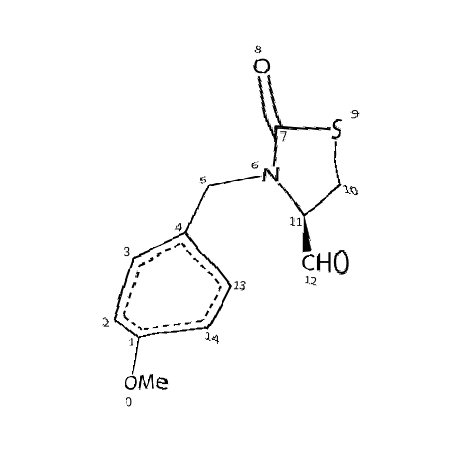 COc1ccc(CN2C(=O)SC[C@H]2C=O)cc1